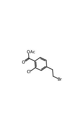 CC(=O)OC(=O)c1ccc(CCBr)cc1Cl